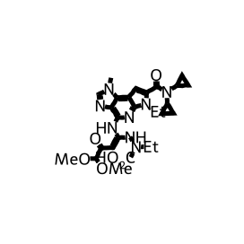 CCN(NC(=CC(=O)C(OC)OC)Nc1nc2c(cc(C(=O)N(C3CC3)C3CC3)n2CC)c2c1ncn2C)C(=O)O